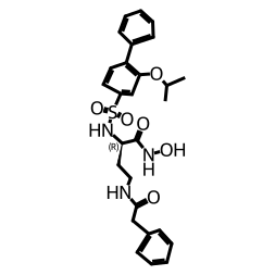 CC(C)Oc1cc(S(=O)(=O)N[C@H](CCNC(=O)Cc2ccccc2)C(=O)NO)ccc1-c1ccccc1